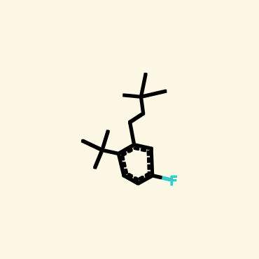 CC(C)(C)CCc1cc(F)ccc1C(C)(C)C